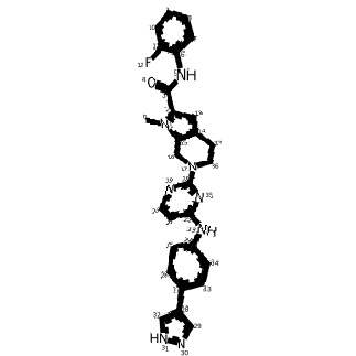 Cn1c(C(=O)Nc2ccccc2F)cc2c1CN(c1nccc(Nc3ccc(-c4cn[nH]c4)cc3)n1)CC2